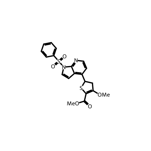 COC(=O)C1=C(OC)CC(c2ccnc3c2ccn3S(=O)(=O)c2ccccc2)S1